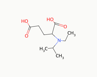 CCN(C(C)C)C(CCC(=O)O)C(=O)O